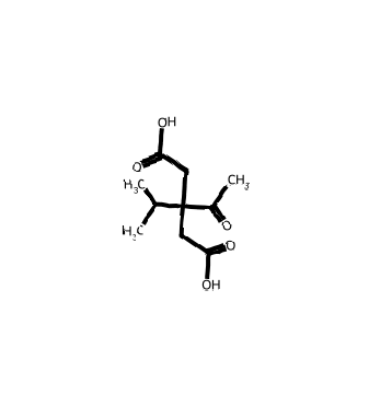 CC(=O)C(CC(=O)O)(CC(=O)O)C(C)C